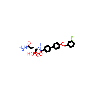 NC(=O)CC[C@H](NC(=O)c1ccc(-c2ccc(OCc3cccc(F)c3)cc2)cc1)C(=O)O